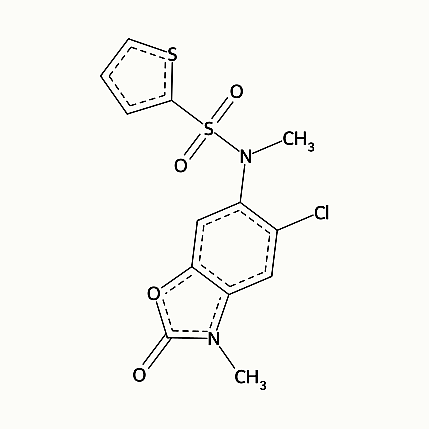 CN(c1cc2oc(=O)n(C)c2cc1Cl)S(=O)(=O)c1cccs1